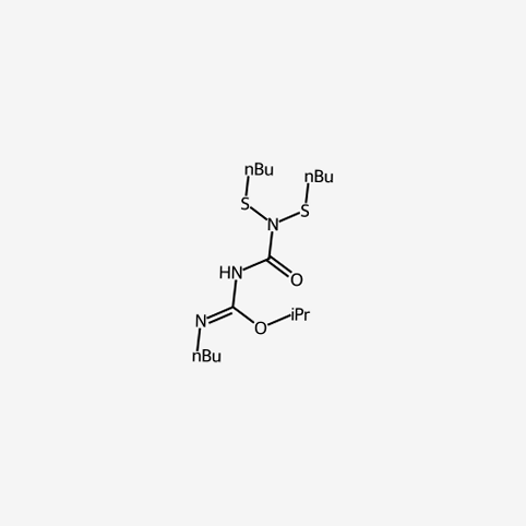 CCCCN=C(NC(=O)N(SCCCC)SCCCC)OC(C)C